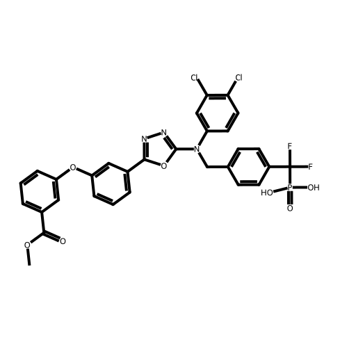 COC(=O)c1cccc(Oc2cccc(-c3nnc(N(Cc4ccc(C(F)(F)P(=O)(O)O)cc4)c4ccc(Cl)c(Cl)c4)o3)c2)c1